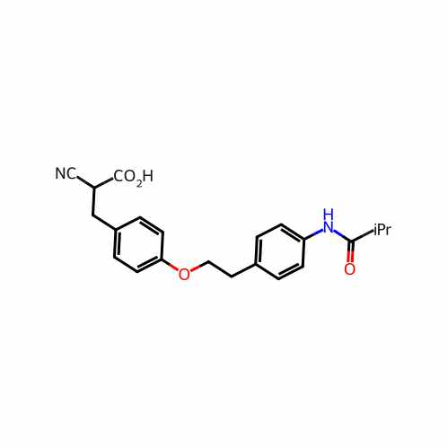 CC(C)C(=O)Nc1ccc(CCOc2ccc(CC(C#N)C(=O)O)cc2)cc1